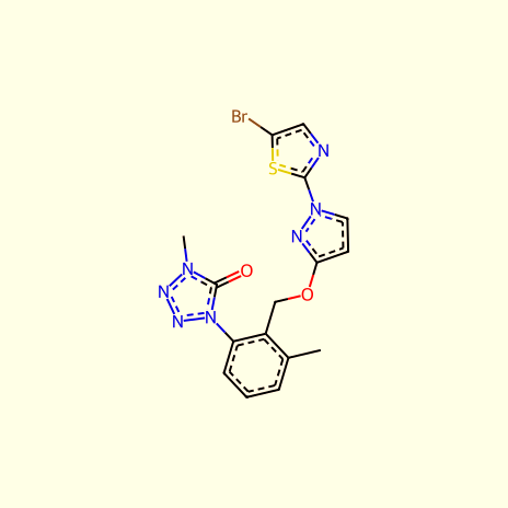 Cc1cccc(-n2nnn(C)c2=O)c1COc1ccn(-c2ncc(Br)s2)n1